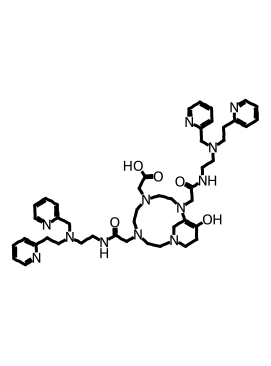 O=C(O)CN1CCN(CC(=O)NCCN(CCc2ccccn2)Cc2ccccn2)CCN2CCC(O)=C(C2)N(CC(=O)NCCN(CCc2ccccn2)Cc2ccccn2)CC1